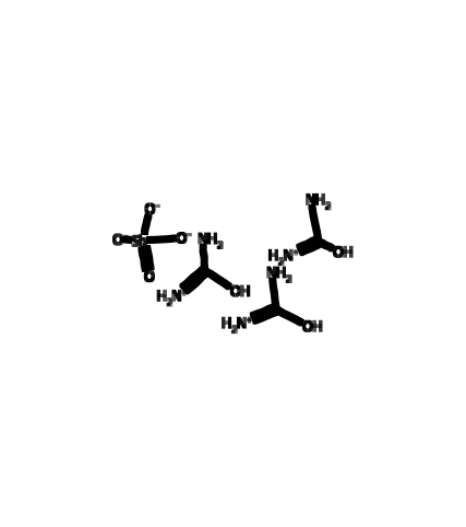 NC(=[NH2+])O.NC(=[NH2+])O.NC(=[NH2+])O.[O]=[Sb]([O-])([O-])[O-]